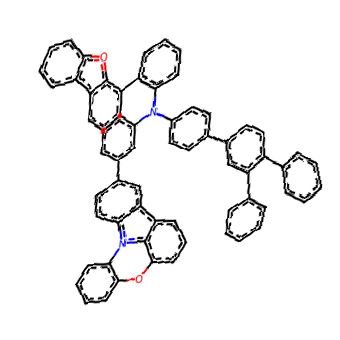 c1ccc(-c2ccc(-c3ccc(N(c4cccc(-c5ccc6c(c5)c5cccc7c5n6-c5ccccc5O7)c4)c4ccccc4-c4cccc5c4oc4ccccc45)cc3)cc2-c2ccccc2)cc1